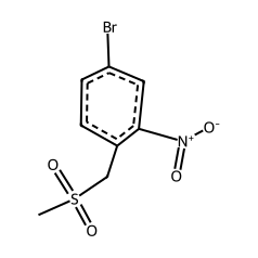 CS(=O)(=O)Cc1ccc(Br)cc1[N+](=O)[O-]